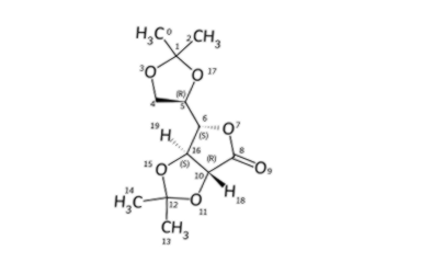 CC1(C)OC[C@H]([C@@H]2OC(=O)[C@@H]3OC(C)(C)O[C@@H]23)O1